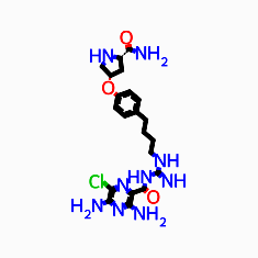 N=C(NCCCCc1ccc(O[C@@H]2CN[C@H](C(N)=O)C2)cc1)NC(=O)c1nc(Cl)c(N)nc1N